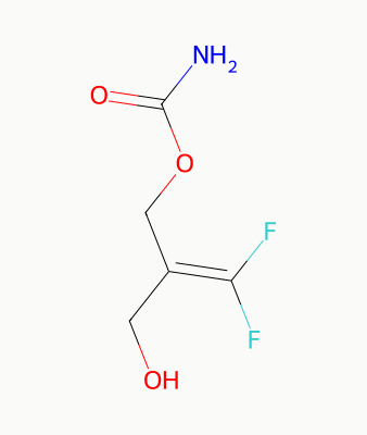 NC(=O)OCC(CO)=C(F)F